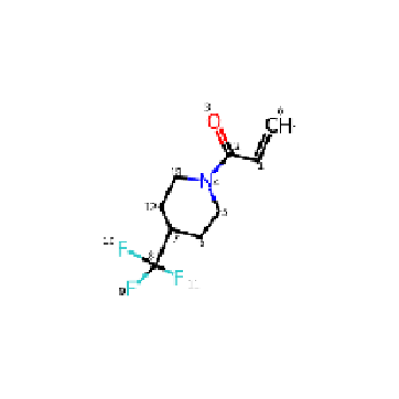 [CH]=CC(=O)N1CCC(C(F)(F)F)CC1